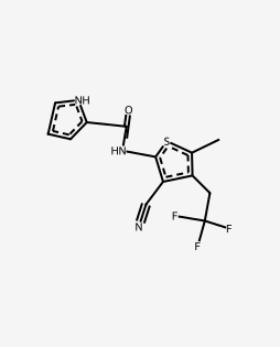 Cc1sc(NC(=O)c2ccc[nH]2)c(C#N)c1CC(F)(F)F